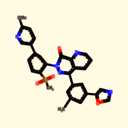 COc1ccc(-c2ccc(S(C)(=O)=O)c(-n3nc(-c4cc(C)cc(-c5cnco5)c4)c4cccnc4c3=O)c2)cn1